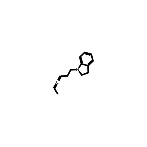 [CH2]C=C=CCCN1CCc2ccccc21